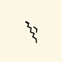 C=CCCCCCCC.CCC